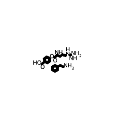 N=C(N)NCCC[C@H](N)C(=O)Oc1ccc(C(=O)O)cc1.NCCc1ccccc1